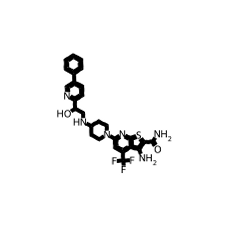 NC(=O)c1sc2nc(N3CCC(NCC(O)c4ccc(-c5ccccc5)cn4)CC3)cc(C(F)(F)F)c2c1N